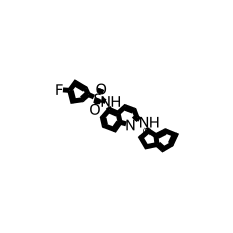 O=S(=O)(Nc1cccc2nc(N[C@@H]3CCc4ccccc43)ccc12)c1ccc(F)cc1